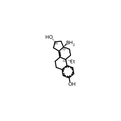 B[C@@]12CC[C@]3(CC)C(=C1C[C@H](O)C2)CCc1cc(O)ccc13